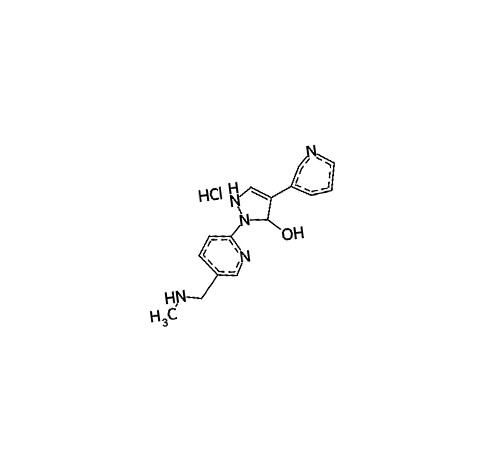 CNCc1ccc(N2NC=C(c3cccnc3)C2O)nc1.Cl